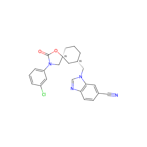 N#Cc1ccc2ncn(C[C@H]3CCC[C@]4(C3)CN(c3cccc(Cl)c3)C(=O)O4)c2c1